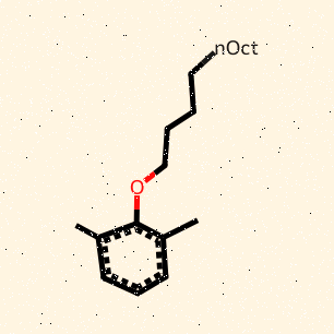 CCCCCCCCCCCCOc1c(C)cccc1C